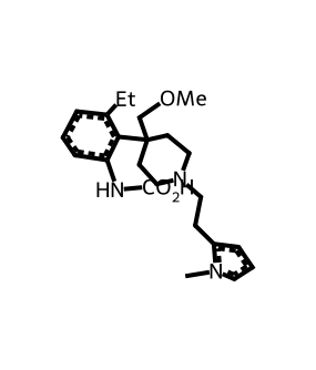 CCc1cccc(NC(=O)O)c1C1(COC)CCN(CCc2cccn2C)CC1